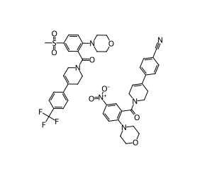 CS(=O)(=O)c1ccc(N2CCOCC2)c(C(=O)N2CC=C(c3ccc(C(F)(F)F)cc3)CC2)c1.N#Cc1ccc(C2=CCN(C(=O)c3cc([N+](=O)[O-])ccc3N3CCOCC3)CC2)cc1